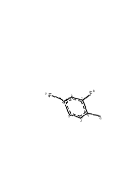 Cc1[c]cc(F)cc1F